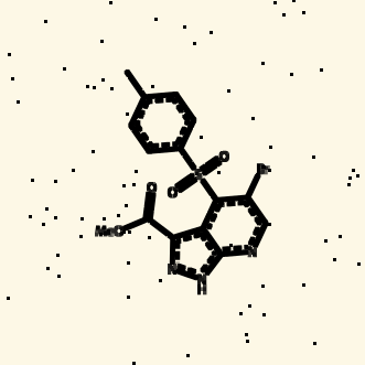 COC(=O)c1n[nH]c2ncc(Br)c(S(=O)(=O)c3ccc(C)cc3)c12